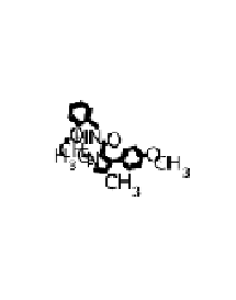 CCOc1ccccc1CNC(=O)c1c(-c2ccc(OC)cc2)c(C)cn1C